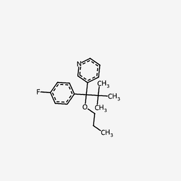 CCCOC(c1ccc(F)cc1)(c1cccnc1)C(C)(C)C